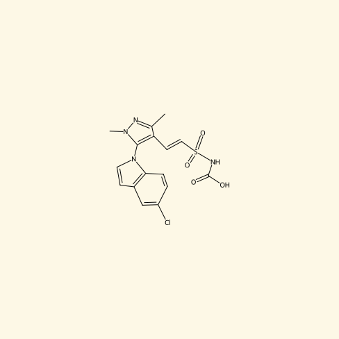 Cc1nn(C)c(-n2ccc3cc(Cl)ccc32)c1/C=C/S(=O)(=O)NC(=O)O